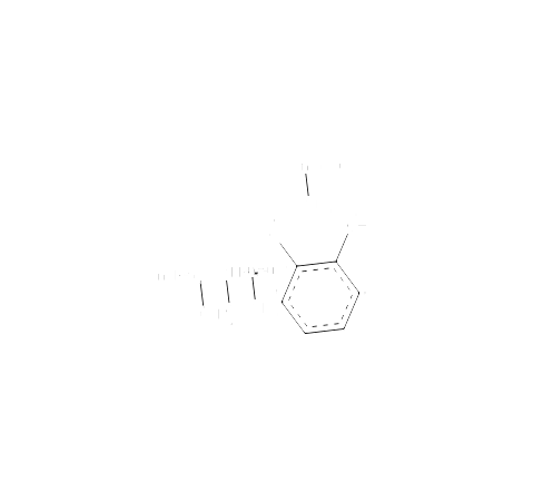 CCCCC.CCCCCC.CCCCCCC.CCCCCCCC.Cc1ccccc1C